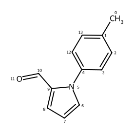 Cc1ccc(-n2cccc2C=O)cc1